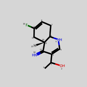 CC(O)C1=CNC2CC=C(F)C[C@H]2C1=N